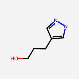 OCCCC1=C[N]N=C1